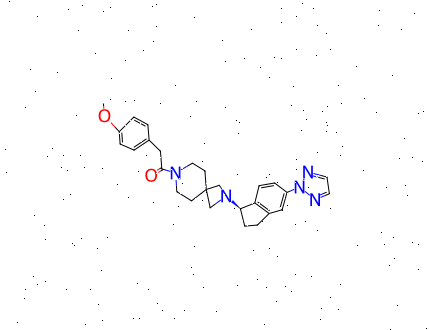 COc1ccc(CC(=O)N2CCC3(CC2)CN([C@@H]2CCc4cc(-n5nccn5)ccc42)C3)cc1